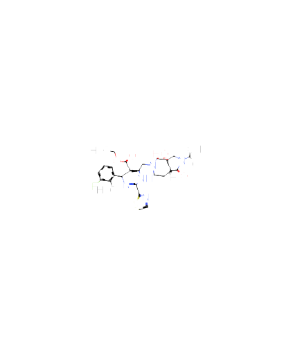 CCOC(=O)C1=C(CN2CC[C@H]3C(=O)N(C(C)C)C[C@@]3(O)C2)NC(c2nccs2)=NC1c1cccc(F)c1C